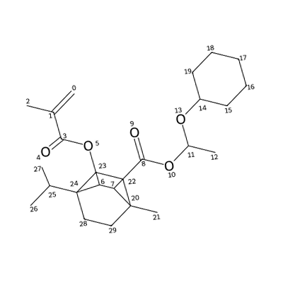 C=C(C)C(=O)OC1C(C(=O)OC(C)OC2CCCCC2)C2(C)CCC1(C(C)C)CC2